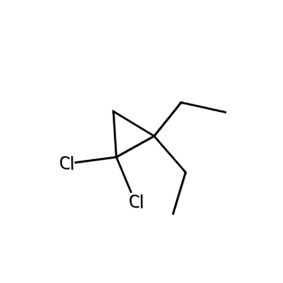 CCC1(CC)CC1(Cl)Cl